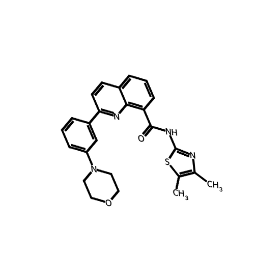 Cc1nc(NC(=O)c2cccc3ccc(-c4cccc(N5CCOCC5)c4)nc23)sc1C